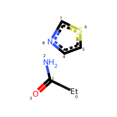 CCC(N)=O.c1cscn1